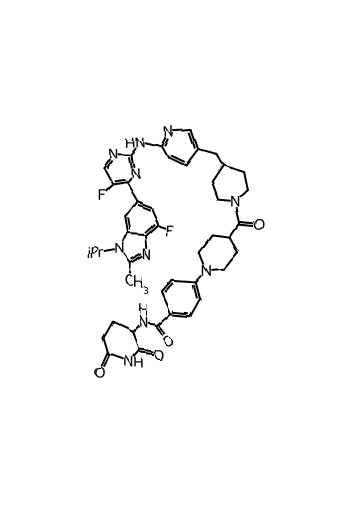 Cc1nc2c(F)cc(-c3nc(Nc4ccc(CC5CCN(C(=O)C6CCN(c7ccc(C(=O)NC8CCC(=O)NC8=O)cc7)CC6)CC5)cn4)ncc3F)cc2n1C(C)C